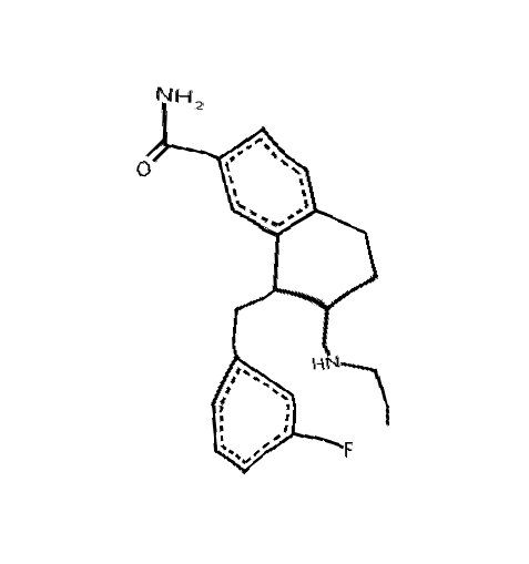 CCNC1CCc2ccc(C(N)=O)cc2C1Cc1cccc(F)c1